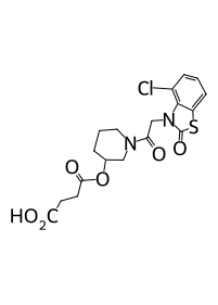 O=C(O)CCC(=O)OC1CCCN(C(=O)Cn2c(=O)sc3cccc(Cl)c32)C1